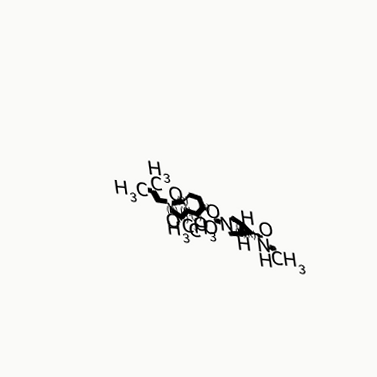 CCNC(=O)[C@H]1[C@@H]2CN(C(=O)O[C@@H]3CC[C@]4(CO4)[C@@H]([C@@]4(C)O[C@@H]4CC=C(C)C)[C@@H]3OC)C[C@@H]21